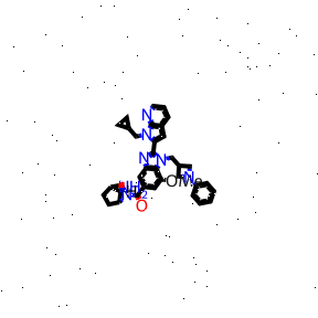 COc1cc(C(=O)N2CC3CCC2[C@@H]3N)cc2nc(-c3cc4cccnc4n3CC3CC3)n(CC3CN(c4ccccc4)C3)c12